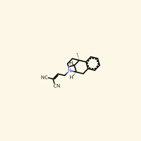 C[C@@H]1[C@H]2Cc3ccccc3[C@]1(C)CCN2CC=C(C#N)C#N